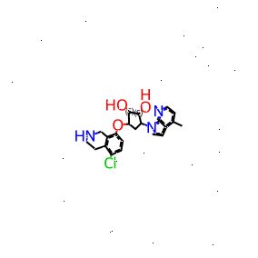 Cc1ccnc2c1ccn2C1CC(Oc2ccc(Cl)c3c2CNCC3)[C@@H](O)[C@H]1O